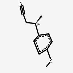 CSc1ccc([C@H](C)CC#N)cc1